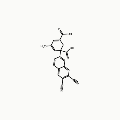 CC1=CC(C(=O)O)(c2ccc3cc(C#N)c(C#N)cc3c2)CC(C(=O)O)=C1